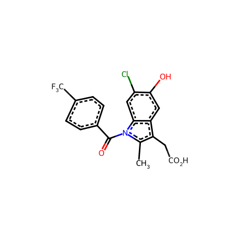 Cc1c(CC(=O)O)c2cc(O)c(Cl)cc2n1C(=O)c1ccc(C(F)(F)F)cc1